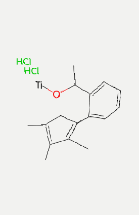 CC1=C(C)C(C)=C(c2ccccc2C(C)[O][Ti])C1.Cl.Cl